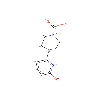 O=C(O)N1CCC(c2cccc(O)n2)CC1